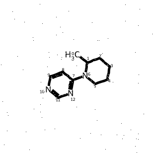 CC1CCCCN1c1ccn[c]n1